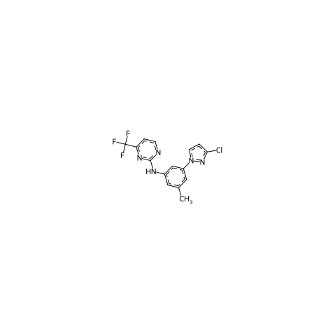 Cc1cc(Nc2nccc(C(F)(F)F)n2)cc(-n2ccc(Cl)n2)c1